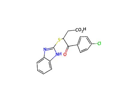 O=C(O)CC(Sc1nc2ccccc2[nH]1)C(=O)c1ccc(Cl)cc1